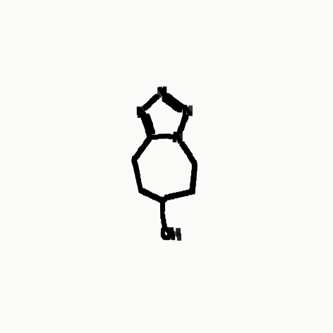 OC1CCc2nnnn2CC1